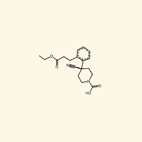 CCOC(=O)CCc1ccccc1C1(C#N)CCN(C(=O)O)CC1